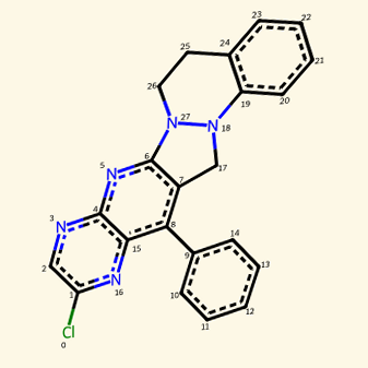 Clc1cnc2nc3c(c(-c4ccccc4)c2n1)CN1c2ccccc2CCN31